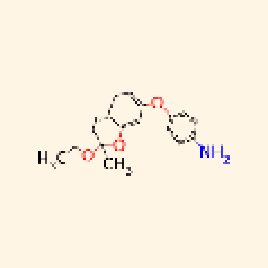 CCOC1(C)CC=C2CC=C(Oc3ccc(N)cc3)C=C2O1